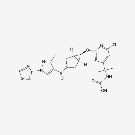 Cc1nn(-c2cscn2)cc1C(=O)N1C[C@@H]2[C@H](C1)[C@@H]2Oc1cc(C(C)(C)NC(=O)O)cc(Cl)n1